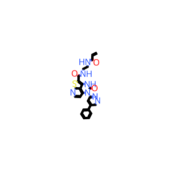 C=CC(=O)NCCNC(=O)c1sc2nccc3c2c1NC(=O)N3c1cc(-c2ccccc2)cnn1